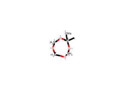 CO[Si]1(C)O[SiH2]O[SiH2]O[SiH2]O1